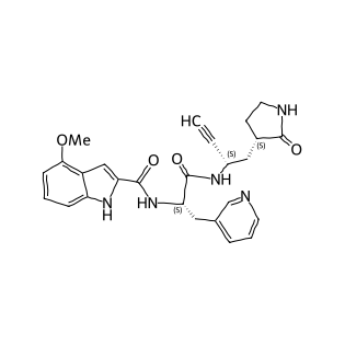 C#C[C@H](C[C@@H]1CCNC1=O)NC(=O)[C@H](Cc1cccnc1)NC(=O)c1cc2c(OC)cccc2[nH]1